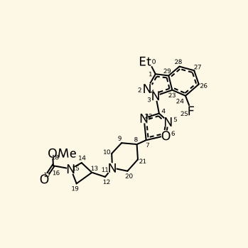 CCc1nn(-c2noc(C3CCN(CC4CN(C(=O)OC)C4)CC3)n2)c2c(F)cccc12